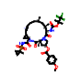 COc1ccc(C(=O)O[C@@H]2C[C@H]3C(=O)N[C@]4(C(=O)NS(=O)(=O)C5(C)CC5)CC4/C=C\CC[C@@H](C)C[C@@H](C)[C@H](NC(=O)OC(C)(C)C(F)(F)F)C(=O)N3C2)cc1